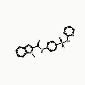 Cn1c(C(=O)Nc2ccc(S(=O)(=O)Nc3ncccn3)cc2)cc2ccccc21